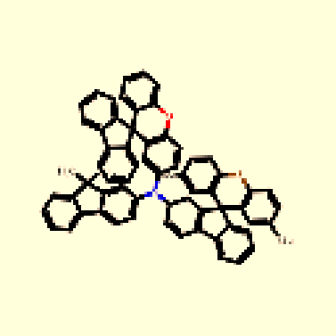 CC(C)(C)c1ccc2c(c1)C1(C3=C(C=CC(N(c4ccc5c(c4)C(C)(C)c4ccccc4-5)c4ccc5c(c4)C4(c6ccccc6O5)c5ccccc5-c5ccccc54)C3)c3ccccc31)c1cc(C(C)(C)C)ccc1S2